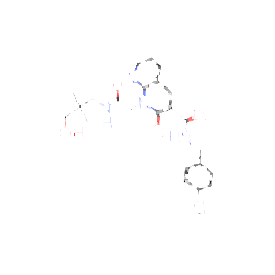 CC(C)(CO)CNC(=O)Cn1c(=O)c(C(=O)NCc2ccc(Cl)cc2)cc2cccnc21